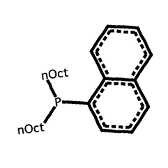 CCCCCCCCP(CCCCCCCC)c1cccc2ccccc12